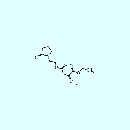 C=C(CC(=O)OCCN1CCCC1=O)C(=O)OCC